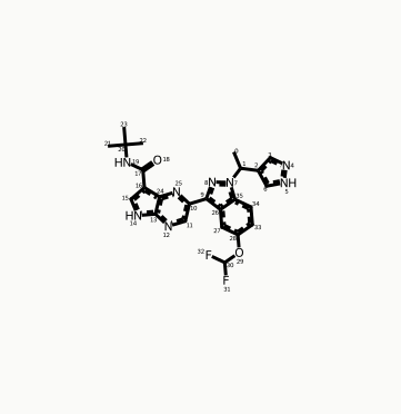 CC(c1cn[nH]c1)n1nc(-c2cnc3[nH]cc(C(=O)NC(C)(C)C)c3n2)c2cc(OC(F)F)ccc21